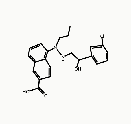 CCCN(NCC(O)c1cccc(Cl)c1)c1cccc2cc(C(=O)O)ccc12